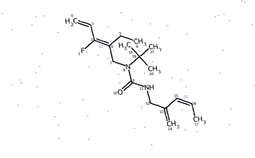 C=C/C(F)=C(\CC)CN(C(=O)NCC(=C)/C=C\C)C(C)(C)C